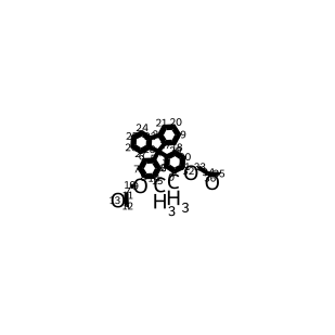 Cc1cc(C2(c3ccc(OC[C@@H]4CO4)c(C)c3)c3ccccc3-c3ccccc32)ccc1OCC1CO1